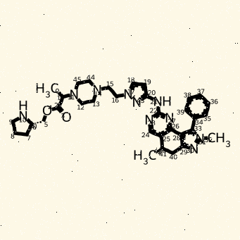 CC(C(=O)OC[C@@H]1CCCN1)N1CCN(CCn2ccc(Nc3ncc4c(n3)-c3c(nn(C)c3-c3ccccc3)C[C@H]4C)n2)CC1